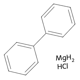 Cl.[MgH2].c1ccc(-c2ccccc2)cc1